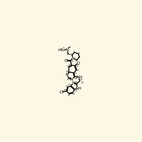 CCCCN(C)C[C@H]1CCCCN1C(=O)c1cc2ncnc(N[C@H](C)c3nc4cc(Cl)ccc4[nH]3)c2cc1Cl